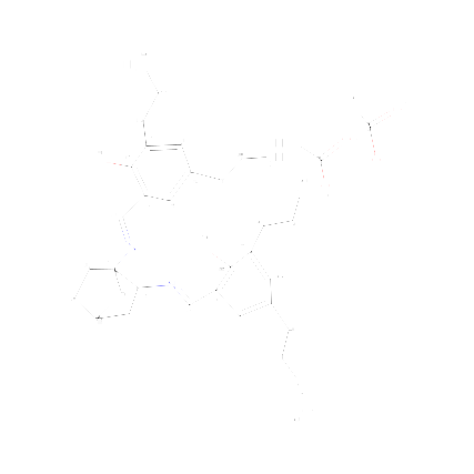 CC(=O)[O-].CC(=O)[O-].CCCc1cc(C=NC2CC3CCC2(N=Cc2cc(CCC)cc(CCC)c2O)C3)c(O)c(CCC)c1.[Co+2]